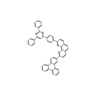 c1ccc(-c2cc(-c3ccc(-c4ccc5ccc6ccc(-c7ccc8c9ccccc9c9ccccc9c8c7)nc6c5n4)cc3)nc(-c3ccccc3)n2)cc1